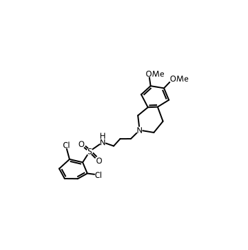 COc1cc2c(cc1OC)CN(CCCNS(=O)(=O)c1c(Cl)cccc1Cl)CC2